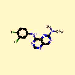 CON(c1ncc2ncnc(Nc3ccc(F)c(Cl)c3)c2n1)C(C)(C)C